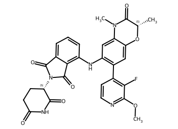 COc1nccc(-c2cc3c(cc2Nc2cccc4c2C(=O)N([C@H]2CCC(=O)NC2=O)C4=O)N(C)C(=O)[C@H](C)O3)c1F